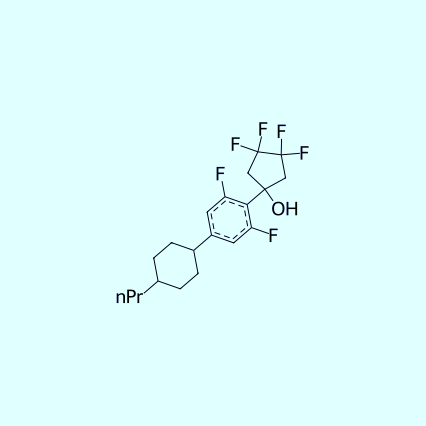 CCCC1CCC(c2cc(F)c(C3(O)CC(F)(F)C(F)(F)C3)c(F)c2)CC1